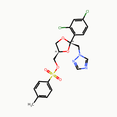 Cc1ccc(S(=O)(=O)OC[C@H]2CO[C@](Cn3cncn3)(c3ccc(Cl)cc3Cl)O2)cc1